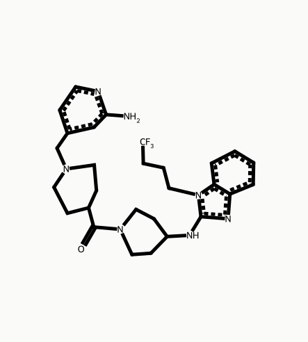 Nc1cc(CN2CCC(C(=O)N3CCC(Nc4nc5ccccc5n4CCCC(F)(F)F)CC3)CC2)ccn1